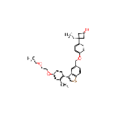 CCOCCOc1ccc(-c2csc3ccc(COc4ccc(C5(CC)CC(=O)C5)cc4)cc23)c(C)c1